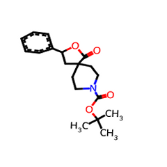 CC(C)(C)OC(=O)N1CCC2(CC1)CC(c1ccccc1)OC2=O